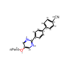 CCCCCOc1cnc(-c2ccc(-c3ccc(C#N)cc3)cc2)nc1